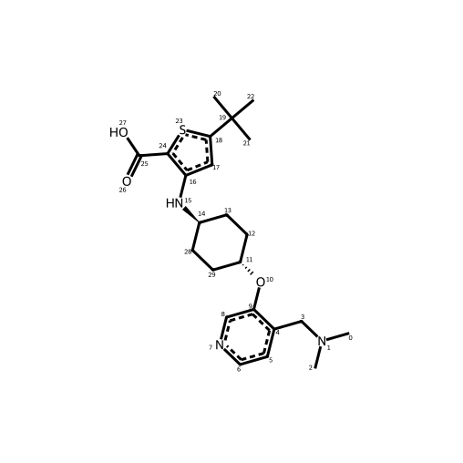 CN(C)Cc1ccncc1O[C@H]1CC[C@H](Nc2cc(C(C)(C)C)sc2C(=O)O)CC1